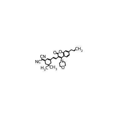 C=CCc1ccc2c(N3CCOCC3)c(C=CC3=CC(=C(C#N)C#N)CC(C)(C)C3)c(=O)oc2c1